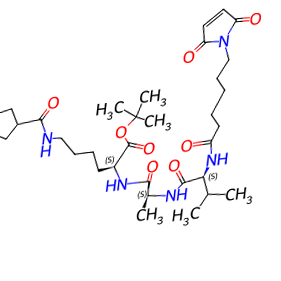 CC(C)[C@H](NC(=O)CCCCCN1C(=O)C=CC1=O)C(=O)N[C@@H](C)C(=O)N[C@@H](CCCCNC(=O)C1CCCC1)C(=O)OC(C)(C)C